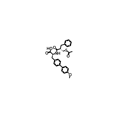 COc1ccc(-c2ccc(C[C@H](NC(=O)[C@@H](CSC(C)=O)Cc3ccccc3)C(=O)O)cc2)cc1